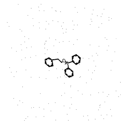 c1ccc(CC[O][Al]([c]2ccccc2)[c]2ccccc2)cc1